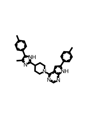 Cc1ccc(-c2cc3c(N4CCC(c5nc(C)c(-c6ccc(C)cc6)[nH]5)CC4)ncnc3[nH]2)cc1